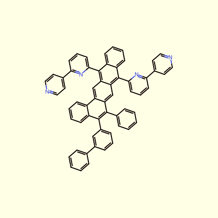 c1ccc(-c2cccc(-c3c(-c4ccccc4)c4cc5c(-c6cccc(-c7ccncc7)n6)c6ccccc6c(-c6cccc(-c7ccncc7)n6)c5cc4c4ccccc34)c2)cc1